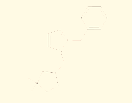 FC1(F)CCC(Cn2cccc2Cc2ccccc2)C1